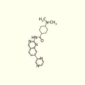 CN(C)C1CCC(C(=O)Nc2ncc3ccc(-c4cnccn4)cc3n2)CC1